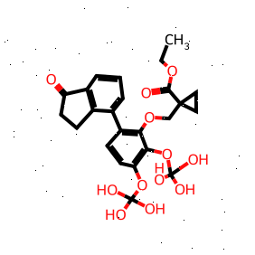 CCOC(=O)C1(COc2c(-c3cccc4c3CCC4=O)ccc(OC(O)(O)O)c2OC(O)(O)O)CC1